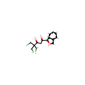 O=C(CC(=O)C(CF)(CF)CF)c1occ2ccccc12